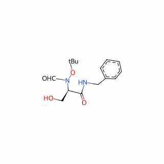 CC(C)(C)ON(C=O)[C@H](CO)C(=O)NCc1ccccc1